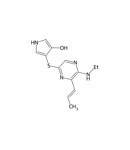 C/C=C/c1nc(Sc2c[nH]cc2O)cnc1NCC